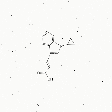 O=C(O)/C=C/c1cn(C2CC2)c2ccccc12